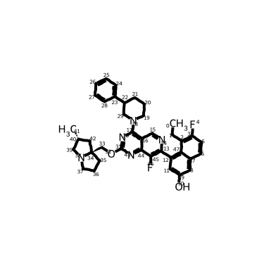 CCc1c(F)ccc2cc(O)cc(-c3ncc4c(N5CCCC(c6ccccc6)C5)nc(OC[C@@]56CCCN5C[C@H](C)C6)nc4c3F)c12